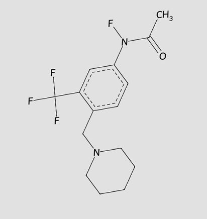 CC(=O)N(F)c1ccc(CN2CCCCC2)c(C(F)(F)F)c1